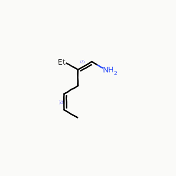 C/C=C\C/C(=C\N)CC